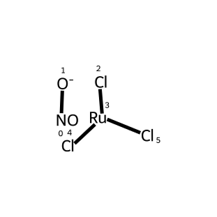 O=[NH+][O-].[Cl][Ru]([Cl])[Cl]